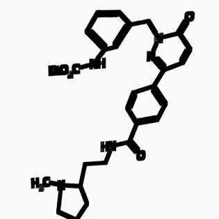 CCOC(=O)Nc1cccc(Cn2nc(-c3ccc(C(=O)NCCC4CCCN4C)cc3)ccc2=O)c1